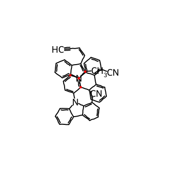 C#C/C=C\c1c(C)n(Cc2ccccc2-c2c(C#N)cccc2-c2cccc(-n3c4ccccc4c4cccc(C#N)c43)c2)c2ccccc12